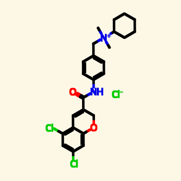 C[N+](C)(Cc1ccc(NC(=O)C2=Cc3c(Cl)cc(Cl)cc3OC2)cc1)C1CCCCC1.[Cl-]